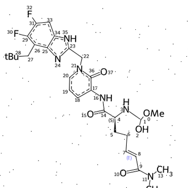 COC(O)N[C@@H](CC/C=C/C(=O)N(C)C)C(=O)Nc1cccn(Cc2nc3c(CC(C)(C)C)c(F)c(F)cc3[nH]2)c1=O